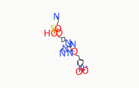 N#CCCOP(O)(=S)OCC1CC(n2cnc3c(OCCc4ccc([N+](=O)[O-])cc4)nc4nccn4c32)C1